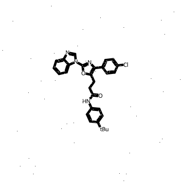 CC(C)(C)c1ccc(NC(=O)CCc2oc(-n3cnc4ccccc43)nc2-c2ccc(Cl)cc2)cc1